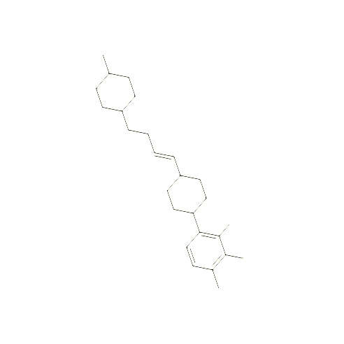 Cc1ccc(C2CCC(/C=C/CCC3CCC(C)CC3)CC2)c(F)c1F